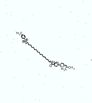 Cc1ccc(S(=O)(=O)OCCCCCCCCCCCCCCCCNC(=O)c2ccc(N3CCN(CC(C)C)CC3)nc2)cc1